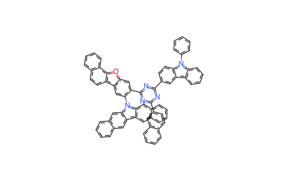 c1ccc(-n2c3ccccc3c3cc(-c4nc(-c5ccc6ccccc6c5)nc(-c5cc6oc7c8ccccc8ccc7c6cc5-n5c6cc7ccccc7cc6c6cc7ccccc7cc65)n4)ccc32)cc1